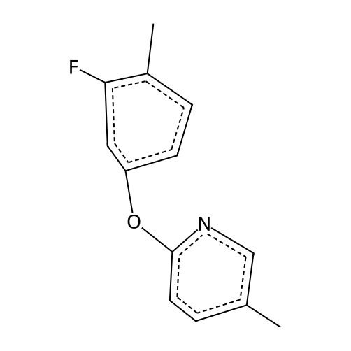 Cc1ccc(Oc2ccc(C)c(F)c2)nc1